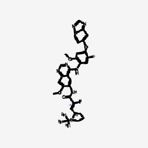 [2H]C([2H])([2H])N1CCC[C@@H]1/C=C(\F)C(=O)Nc1cc2c(Nc3cc(F)c(Oc4ccn5ncnc5c4)cc3OC)ncnc2cc1OC